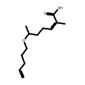 C=CCCCOC(C)CCC=C(C)C(=O)O